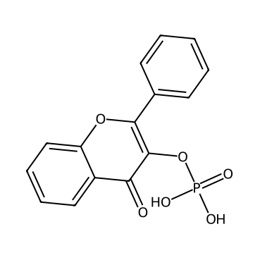 O=c1c(OP(=O)(O)O)c(-c2ccccc2)oc2ccccc12